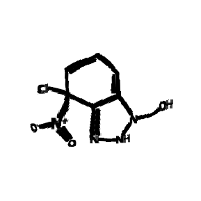 O=[N+]([O-])C1(Cl)C=CC=C2C1=NNN2O